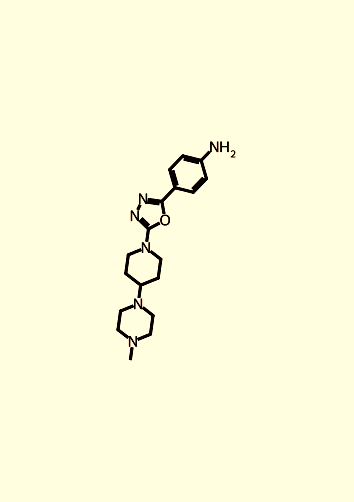 CN1CCN(C2CCN(c3nnc(-c4ccc(N)cc4)o3)CC2)CC1